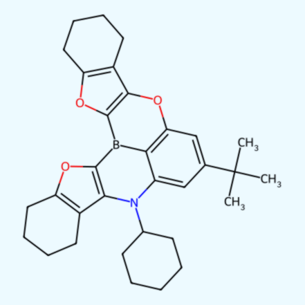 CC(C)(C)c1cc2c3c(c1)N(C1CCCCC1)c1c(oc4c1CCCC4)B3c1oc3c(c1O2)CCCC3